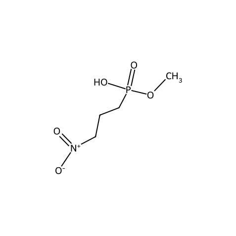 COP(=O)(O)CCC[N+](=O)[O-]